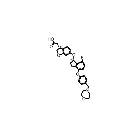 O=C(O)C[C@@H]1COc2cc(O[C@@H]3CCc4c(Oc5ccc(CN6CCOCC6)cc5)ccc(F)c43)ccc21